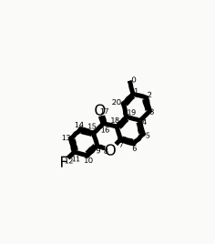 Cc1ccc2ccc3oc4cc(F)ccc4c(=O)c3c2c1